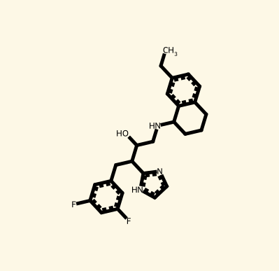 CCc1ccc2c(c1)C(NCC(O)C(Cc1cc(F)cc(F)c1)c1ncc[nH]1)CCC2